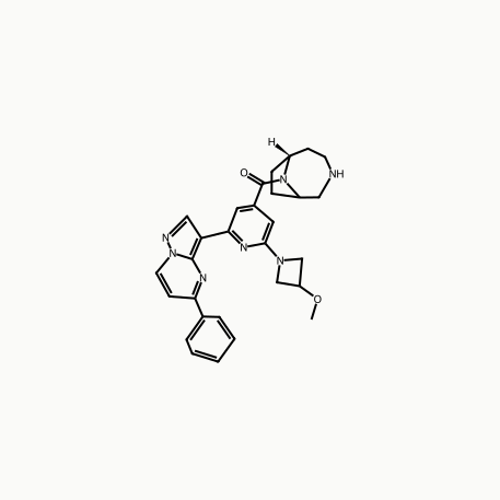 COC1CN(c2cc(C(=O)N3C4CC[C@@H]3CCNC4)cc(-c3cnn4ccc(-c5ccccc5)nc34)n2)C1